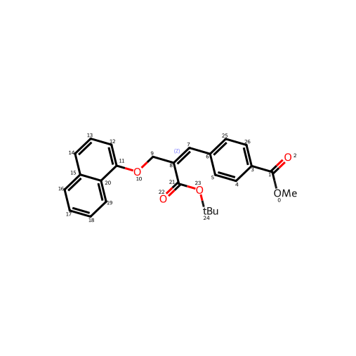 COC(=O)c1ccc(/C=C(/COc2cccc3ccccc23)C(=O)OC(C)(C)C)cc1